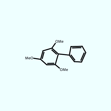 COc1[c]c(OC)c(-c2ccccc2)c(OC)c1